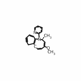 COC1=C/[C@H](C)N(c2ccccn2)C2=C(CC#CC=C2)C/C=C\1